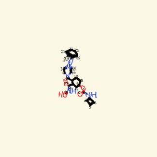 O=C(NC1CCC1)OC1CCC(C(=O)N2CCN(c3ccccc3)CC2)C(C(=O)NO)C1